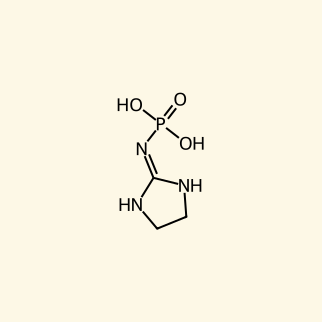 O=P(O)(O)N=C1NCCN1